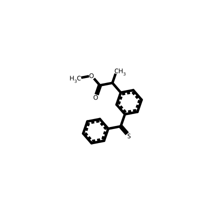 COC(=O)C(C)c1cccc(C(=S)c2ccccc2)c1